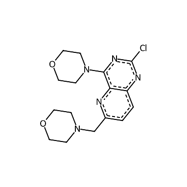 Clc1nc(N2CCOCC2)c2nc(CN3CCOCC3)ccc2n1